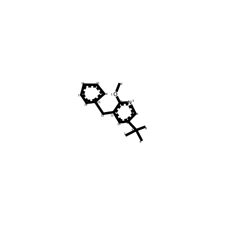 COc1ncc(C(C)(C)C)cc1Cc1ccccc1